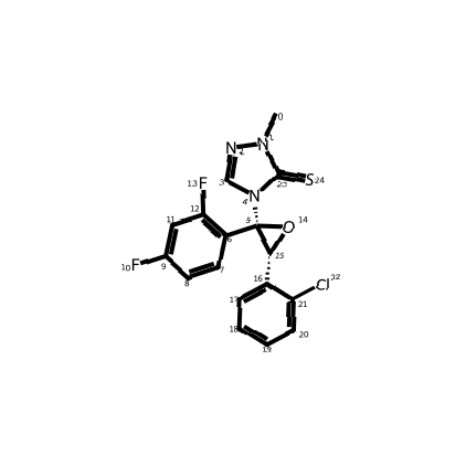 Cn1ncn([C@]2(c3ccc(F)cc3F)O[C@@H]2c2ccccc2Cl)c1=S